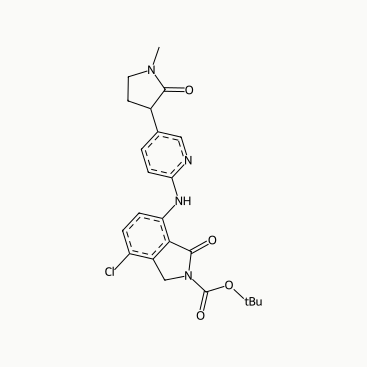 CN1CCC(c2ccc(Nc3ccc(Cl)c4c3C(=O)N(C(=O)OC(C)(C)C)C4)nc2)C1=O